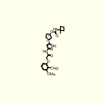 COc1cccc(OCC(=O)Nc2cc([C@H]3CC[C@@H](OC(=O)NC4(C)CCC4)C3)[nH]n2)c1C=O